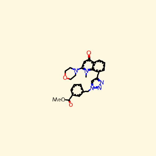 COC(=O)c1cccc(Cn2cc(-c3cccc4c(=O)cc(N5CCOCC5)n(C)c34)nn2)c1